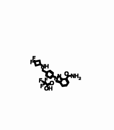 NC(=O)c1cccc2cn(-c3ccc(CNC4CC(F)(F)C4)cc3)nc12.O=C(O)C(F)(F)F